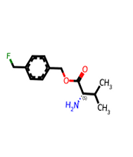 CC(C)[C@H](N)C(=O)OCc1ccc(CF)cc1